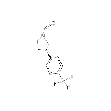 O=CN1CC[C@H](c2ccc(C(F)(F)F)cn2)C1